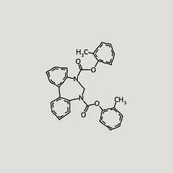 Cc1ccccc1OC(=O)N1CN(C(=O)Oc2ccccc2C)c2ccccc2-c2ccccc21